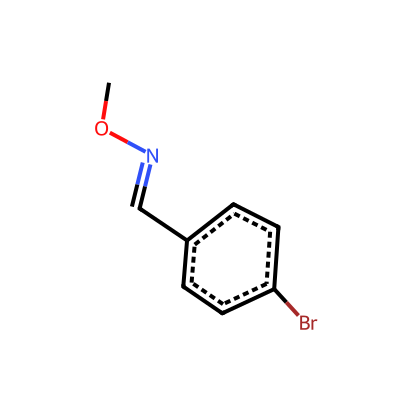 CO/N=C/c1ccc(Br)cc1